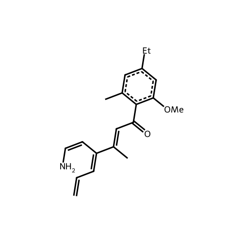 C=C/C=C(\C=C/N)C(/C)=C/C(=O)c1c(C)cc(CC)cc1OC